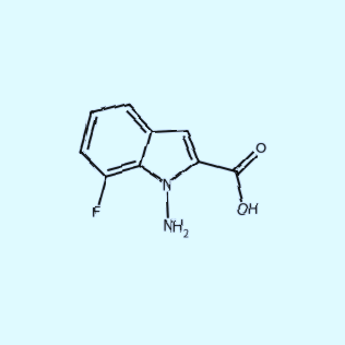 Nn1c(C(=O)O)cc2cccc(F)c21